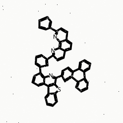 c1ccc(-c2ccc3ccc4ccc(-c5cccc(-c6cccc7c6nc(-c6ccc8c9ccccc9c9ccccc9c8c6)c6sc8ccccc8c67)c5)nc4c3n2)cc1